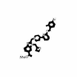 C=C(OC)c1ccc2nc(CN3CCC(c4cccc(OCc5ccc(C(C)=O)cc5C)n4)CC3)n(CC3CCO3)c2c1